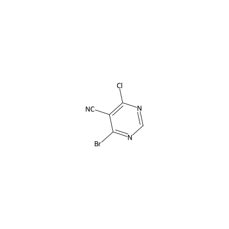 N#Cc1c(Cl)ncnc1Br